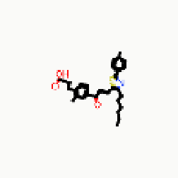 CCCCCCc1nc(-c2ccc(C)cc2)sc1CCC(=O)c1ccc(CCC(=O)O)c(C)c1